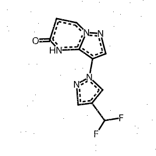 O=c1ccn2ncc(-n3cc(C(F)F)cn3)c2[nH]1